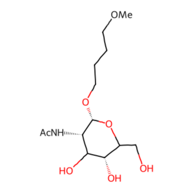 COCCCCO[C@@H]1OC(CO)[C@H](O)C(O)[C@@H]1NC(C)=O